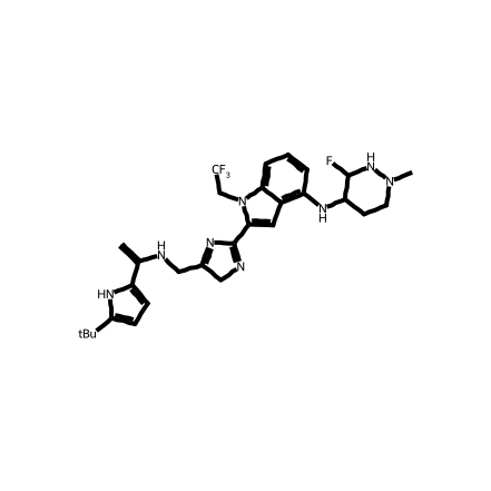 C=C(NCC1=NC(c2cc3c(NC4CCN(C)NC4F)cccc3n2CC(F)(F)F)=NC1)c1ccc(C(C)(C)C)[nH]1